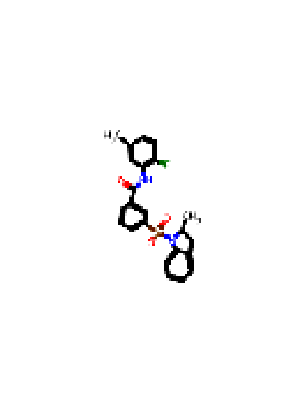 Cc1ccc(F)c(NC(=O)c2cccc(S(=O)(=O)N3c4ccccc4CC3C)c2)c1